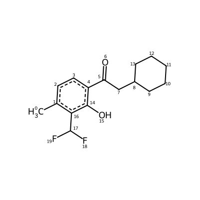 Cc1ccc(C(=O)CC2CCCCC2)c(O)c1C(F)F